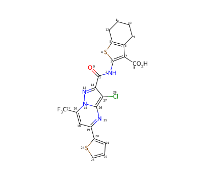 O=C(Nc1sc2c(c1C(=O)O)CCCC2)c1nn2c(C(F)(F)F)cc(-c3cccs3)nc2c1Cl